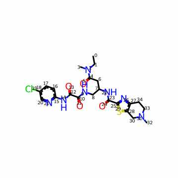 CCN(C)C(=O)CC(CNC(=O)C(=O)Nc1ccc(Cl)cn1)NC(=O)c1nc2c(s1)CN(C)CC2